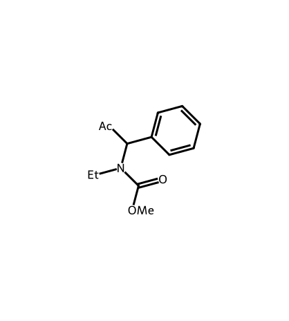 CCN(C(=O)OC)C(C(C)=O)c1ccccc1